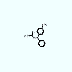 NC(=O)OC(c1ccccc1)c1ccc(O)cc1